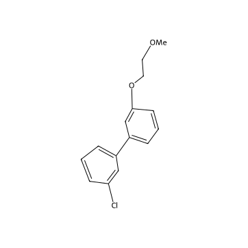 COCCOc1cccc(-c2cccc(Cl)c2)c1